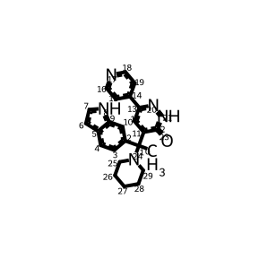 CC(c1ccc2cc[nH]c2c1)(c1cc(-c2ccncc2)n[nH]c1=O)N1CCCCC1